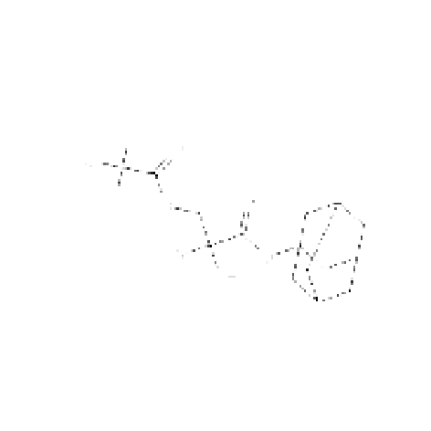 CC(F)(F)C(=O)OCC(C)(O)C(=O)OC12CC3CC(CC(C3)C1)C2